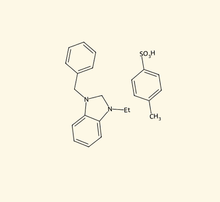 CCN1CN(Cc2ccccc2)c2ccccc21.Cc1ccc(S(=O)(=O)O)cc1